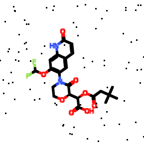 CC(C)(C)CC(=O)O[C@@H](C(=O)O)[C@H]1OCCN(c2cc3ccc(=O)[nH]c3cc2OC(F)F)C1=O